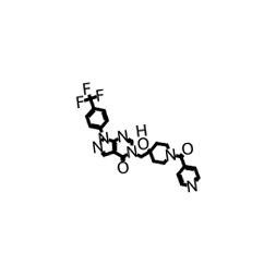 O=C(c1ccncc1)N1CCC(O)(Cn2cnc3c(cnn3-c3ccc(C(F)(F)F)cc3)c2=O)CC1